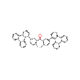 O=C1c2cc(-c3cccc4c5ccccc5c5ccccc5c34)ccc2CCc2ccc(-c3cccc4c5ccccc5c5ccccc5c34)cc21